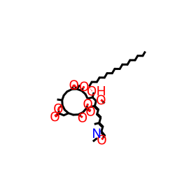 CCCCCCCCCCCCCCC[C@H](O)OC1CC(C(C)C(OC)/C(C)=C/C=C/C(C)=C/c2coc(C)n2)OC(=O)C2OC2CC2CC(=O)OC(C2)C(C)CCC2OC12C